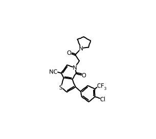 N#Cc1cn(CC(=O)N2CCCC2)c(=O)c2c(-c3ccc(Cl)c(C(F)(F)F)c3)csc12